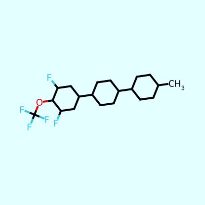 CC1CCC(C2CCC(C3CC(F)C(OC(F)(F)F)C(F)C3)CC2)CC1